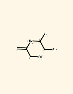 C=C(CO)NC(C)CF